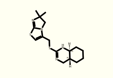 CC1(C)CN2C(CSC3=NC[C@H]4CCCC[C@@H]4N3)=CSC2=N1